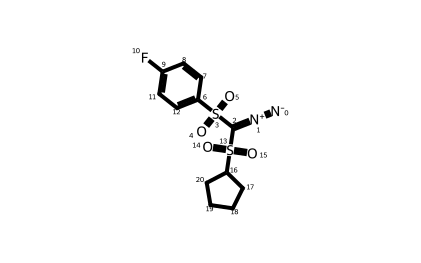 [N-]=[N+]=C(S(=O)(=O)c1ccc(F)cc1)S(=O)(=O)C1CCCC1